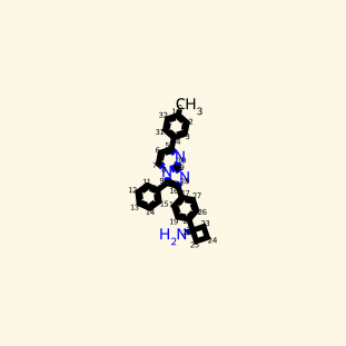 Cc1ccc(-c2ccn3c(-c4ccccc4)c(-c4ccc(C5(N)CCC5)cc4)nc3n2)cc1